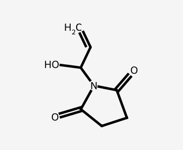 C=CC(O)N1C(=O)CCC1=O